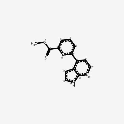 COC(=O)c1cccc(-c2ccnc3[nH]ccc23)n1